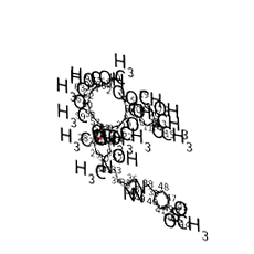 CC[C@H]1OC(=O)[C@H](C)[C@@H](O[C@H]2C[C@@](C)(OC)[C@@H](O)[C@H](C)O2)[C@H](C)[C@@H](O[C@@H]2O[C@H](C)C[C@H](N(C)CCc3cn(Cc4ccc(S(C)(=O)=O)cc4)nn3)[C@H]2O)[C@](C)(OC)C[C@@H](C)C(=O)[C@H](C)[C@@H](O)[C@]1(C)O